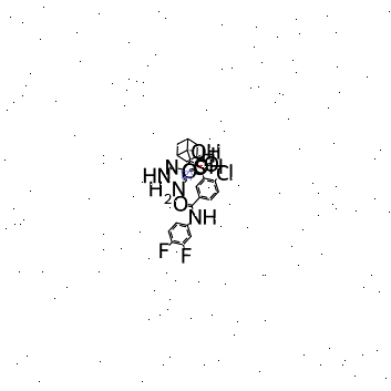 N=N/C(=C\N)C(O)[C@]1(O)C2CC1C[C@@H](S(=O)(=O)c1cc(C(=O)Nc3ccc(F)c(F)c3)ccc1Cl)C2